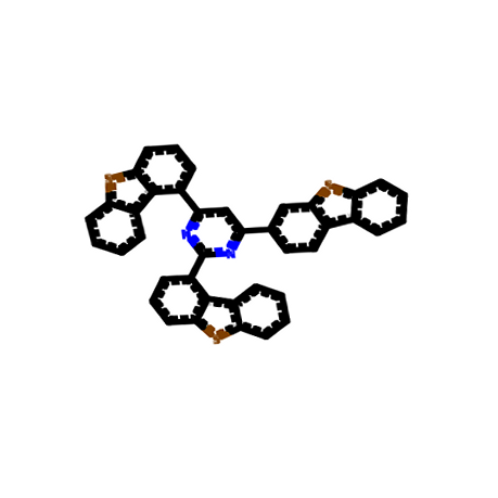 c1ccc2c(c1)sc1cc(-c3cc(-c4cccc5sc6ccccc6c45)nc(-c4cccc5sc6ccccc6c45)n3)ccc12